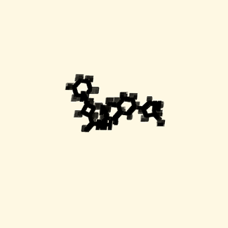 C=C(Nc1cc2cc(C3=CN=C(C)C3)ccc2cn1)C1CC(N2CCCCC2)C1